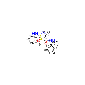 CC[C@H](NC(=O)c1sc(Nc2ccccc2OC)nc1C)c1ccccc1